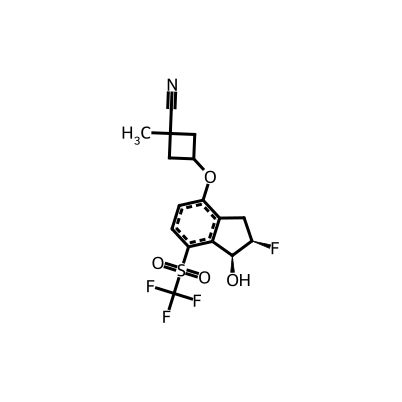 CC1(C#N)CC(Oc2ccc(S(=O)(=O)C(F)(F)F)c3c2C[C@@H](F)[C@H]3O)C1